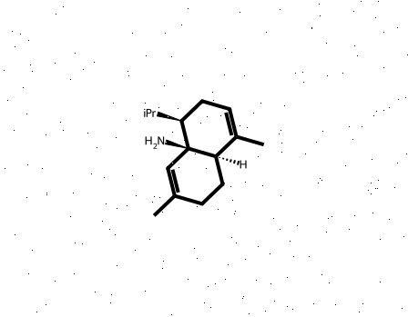 CC1=C[C@@]2(N)[C@H](CC1)C(C)=CC[C@@H]2C(C)C